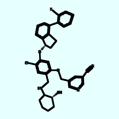 N#Cc1cncc(COc2cc(O[C@H]3CCc4c(-c5ccccc5F)cccc43)c(Cl)cc2CNC2CCCC[C@H]2O)c1